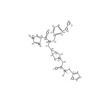 CN(Cc1ccco1)C(=O)CN1CC2C(C1)C2CN(Cc1cccc(OC(F)(F)F)c1)C(=O)c1cn(C)cn1